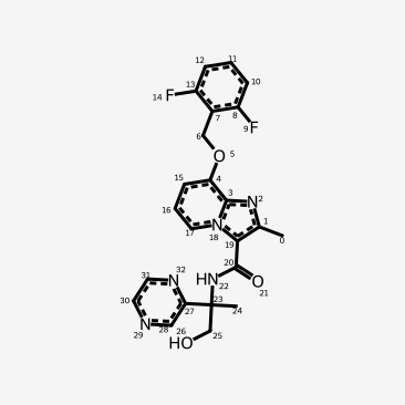 Cc1nc2c(OCc3c(F)cccc3F)cccn2c1C(=O)NC(C)(CO)c1cnccn1